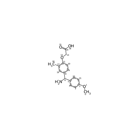 COc1ccc(C(N)c2ccc(OCC(=O)O)c(C)c2)cc1